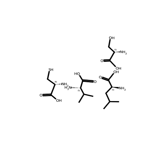 CC(C)C[C@H](N)C(=O)O.CC(C)[C@H](N)C(=O)O.N[C@@H](CO)C(=O)O.N[C@@H](CS)C(=O)O